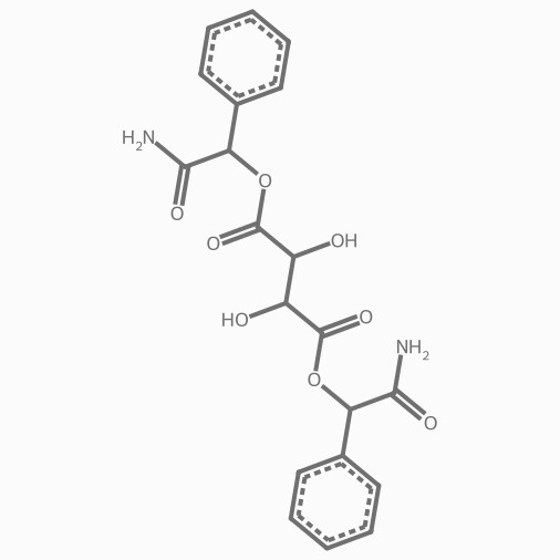 NC(=O)C(OC(=O)C(O)C(O)C(=O)OC(C(N)=O)c1ccccc1)c1ccccc1